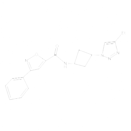 CCc1cn([C@H]2C[C@@H](NC(=O)c3cc(-c4ccccc4)no3)C2)nn1